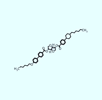 CCCCCCOc1ccc(-c2ccc(C(=O)O[C@@H]3CO[C@@H]4[C@H]3OC[C@@H]4OC(=O)c3ccc(C4CCC(CCCCCC)CC4)cc3)cc2)cc1